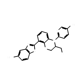 Cc1ccc(N2c3cccc(-c4nc5cc(C)ccc5[nH]4)c3OCC2CO)nc1